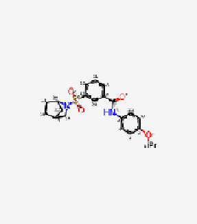 CC(C)Oc1ccc(NC(=O)c2cccc(S(=O)(=O)N3CC4CCC3C4)c2)cc1